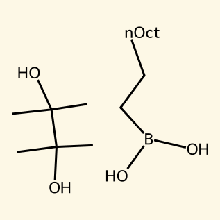 CC(C)(O)C(C)(C)O.CCCCCCCCCCB(O)O